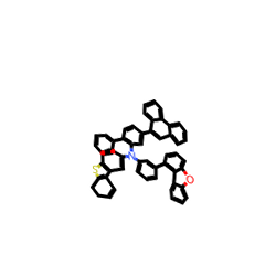 C1=Cc2c(sc3ccc(N(c4cccc(-c5cccc6oc7ccccc7c56)c4)c4cc(-c5cc6ccccc6c6ccccc56)ccc4-c4ccccc4)cc23)CC1